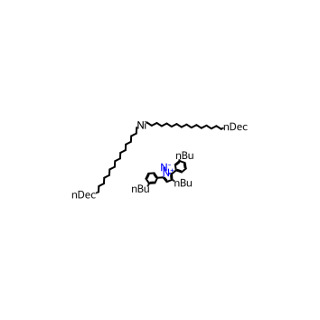 CCCCC1=C(c2cccc(CCCC)c2)[N+](=[N-])C(c2cccc(CCCC)c2)=C1.CCCCCCCCCCCCCCCCCCCCCCCCC[CH2][Ni][CH2]CCCCCCCCCCCCCCCCCCCCCCCCC